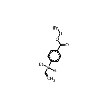 C=C[Si](CC)(CC)c1ccc(C(=O)OO[C](C)C)cc1